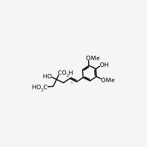 COc1cc(/C=C/CC(O)(CC(=O)O)C(=O)O)cc(OC)c1O